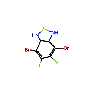 FC1=C(Br)C2NSNC2C(Br)=C1F